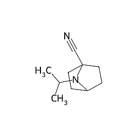 CC(C)N1C2CCC1(C#N)CC2